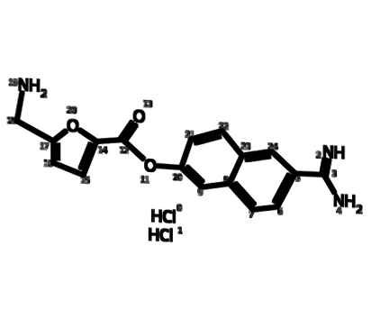 Cl.Cl.N=C(N)c1ccc2cc(OC(=O)c3ccc(CN)o3)ccc2c1